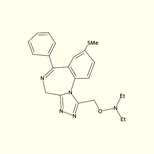 CCN(CC)OCc1nnc2n1-c1ccc(SC)cc1C(c1ccccc1)=NC2